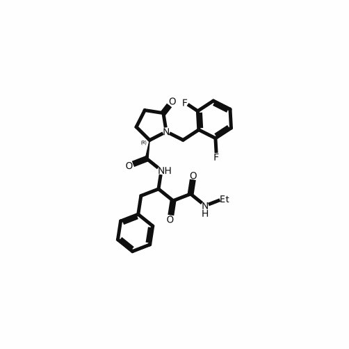 CCNC(=O)C(=O)C(Cc1ccccc1)NC(=O)[C@H]1CCC(=O)N1Cc1c(F)cccc1F